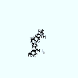 N[C@H](c1cn2nc(CC3C[C@@H](C(F)(F)F)NC3=O)ccc2n1)C1CCC(F)(F)CC1